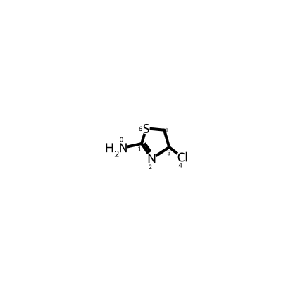 NC1=NC(Cl)CS1